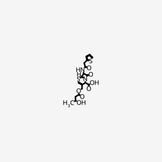 CC(O)CC(=O)OCC1=CS[C@H]2C(NC(=O)Cc3cccs3)C(=O)N2C1C(=O)O